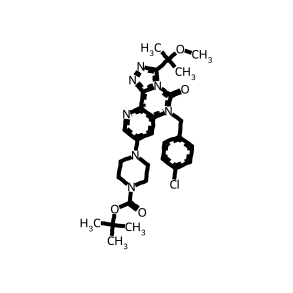 COC(C)(C)c1nnc2c3ncc(N4CCN(C(=O)OC(C)(C)C)CC4)cc3n(Cc3ccc(Cl)cc3)c(=O)n12